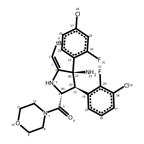 CC(C)(C)/C=C1/N[C@@H](C(=O)N2CCOCC2)[C@H](c2cccc(Cl)c2F)[C@@]1(N)c1ccc(Cl)cc1F